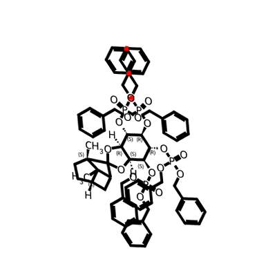 CC12C3C[C@@H]1CC[C@]2(C)C31O[C@@H]2[C@H](O1)[C@H](OP(=O)(OCc1ccccc1)OCc1ccccc1)[C@@H](OP(=O)(OCc1ccccc1)OCc1ccccc1)[C@H](OP(=O)(OCc1ccccc1)OCc1ccccc1)[C@H]2OP(=O)(OCc1ccccc1)OCc1ccccc1